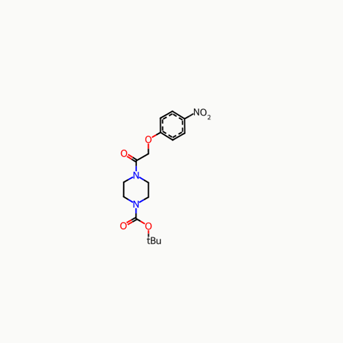 CC(C)(C)OC(=O)N1CCN(C(=O)COc2ccc([N+](=O)[O-])cc2)CC1